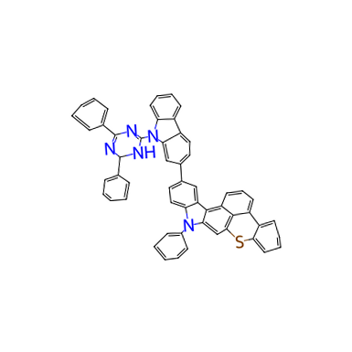 c1ccc(C2=NC(c3ccccc3)NC(n3c4ccccc4c4ccc(-c5ccc6c(c5)c5c7cccc8c7c(cc5n6-c5ccccc5)Sc5ccccc5-8)cc43)=N2)cc1